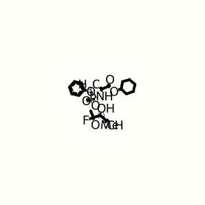 C#C[C@H](O)C(F)(COP(=O)(NC(C)C(=O)OC1CCCCC1)Oc1ccccc1)OC